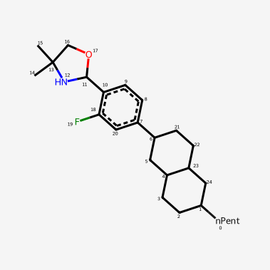 CCCCCC1CCC2CC(c3ccc(C4NC(C)(C)CO4)c(F)c3)CCC2C1